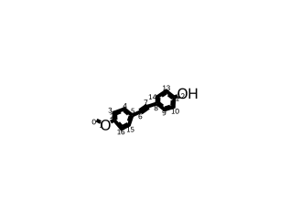 COc1ccc(C#Cc2ccc(O)cc2)cc1